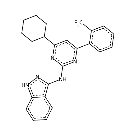 FC(F)(F)c1ccccc1-c1cc(C2CCCCC2)nc(Nc2n[nH]c3ccccc23)n1